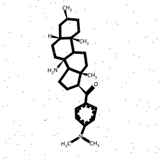 C[C@H]1CC[C@]2(C)C3CC[C@@]4(C)C(CC[C@@H]4C(=O)c4ccc(N(C)C)cc4)[C@]3(N)CC[C@@H]2C1